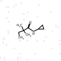 CCC(C)(C)C(=O)NC1CC1